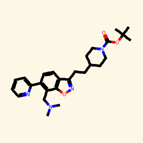 CN(C)Cc1c(-c2ccccn2)ccc2c(CCC3CCN(C(=O)OC(C)(C)C)CC3)noc12